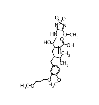 COCCCOc1cc(C[C@@H](C[C@H](NC(=O)O)[C@@H](O)CNC2=NS(=O)(=O)N=C2OC)C(C)C)ccc1OC